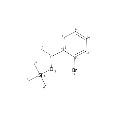 CC(O[Si](C)(C)C)c1ccccc1Br